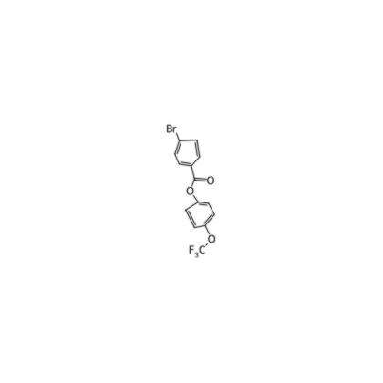 O=C(Oc1ccc(OC(F)(F)F)cc1)c1ccc(Br)cc1